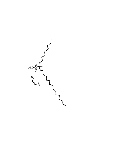 C=CCN.CCCCCCCCCCCCCCCCC(F)(CCCCCCCCC)S(=O)(=O)O